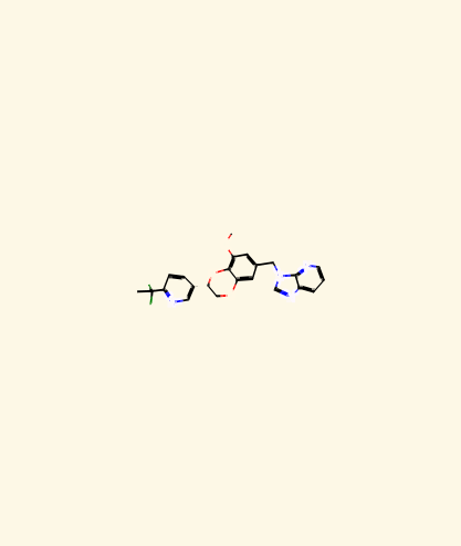 COc1cc(Cn2cnc3cccnc32)cc2c1O[C@@H](c1ccc(C(C)(F)F)nc1)CO2